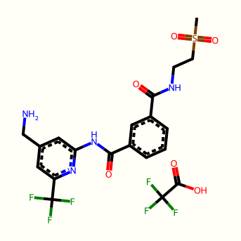 CS(=O)(=O)CCNC(=O)c1cccc(C(=O)Nc2cc(CN)cc(C(F)(F)F)n2)c1.O=C(O)C(F)(F)F